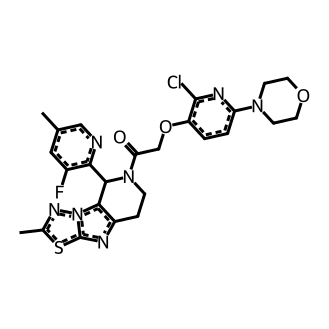 Cc1cnc(C2c3c(nc4sc(C)nn34)CCN2C(=O)COc2ccc(N3CCOCC3)nc2Cl)c(F)c1